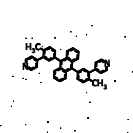 Cc1ccc(-c2c3ccccc3c(-c3ccc(C)c(-c4ccncc4)c3)c3ccccc23)cc1-c1ccncc1